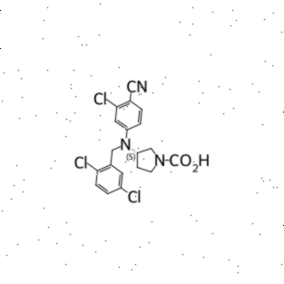 N#Cc1ccc(N(Cc2cc(Cl)ccc2Cl)[C@H]2CCN(C(=O)O)C2)cc1Cl